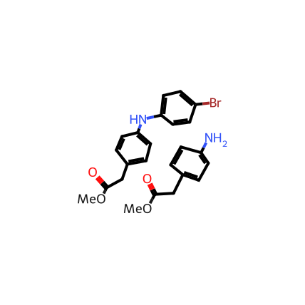 COC(=O)Cc1ccc(N)cc1.COC(=O)Cc1ccc(Nc2ccc(Br)cc2)cc1